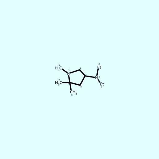 CCN(CC)C1CN(C)C(C)(C)C1